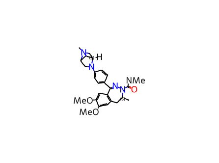 CNC(=O)N1N=C(c2ccc(N3CC4C[C@H]3CN4C)cc2)c2cc(OC)c(OC)cc2C[C@@H]1C